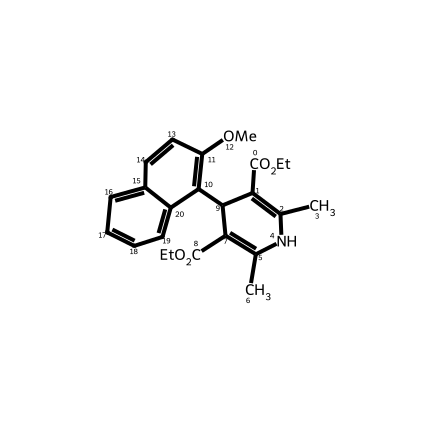 CCOC(=O)C1=C(C)NC(C)=C(C(=O)OCC)C1c1c(OC)ccc2ccccc12